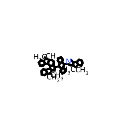 CC1(C)c2ccccc2-c2cnc(-c3c4ccccc4c(-c4cc5c(c6c7c(ccc46)C(C)(C)c4ccccc4-7)-c4ccccc4C5(C)C)c4ccccc34)cc21